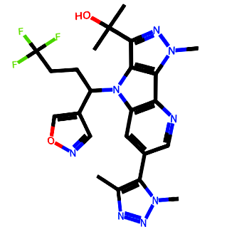 Cc1nnn(C)c1-c1cnc2c3c(c(C(C)(C)O)nn3C)n(C(CCC(F)(F)F)c3cnoc3)c2c1